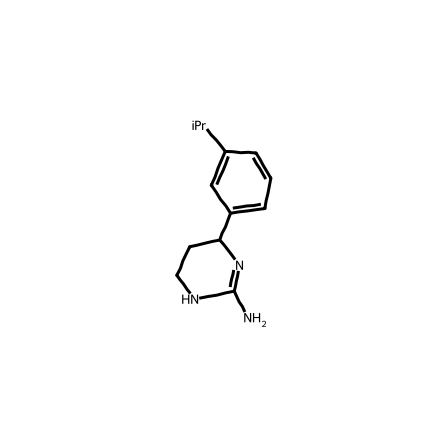 CC(C)c1cccc(C2CCNC(N)=N2)c1